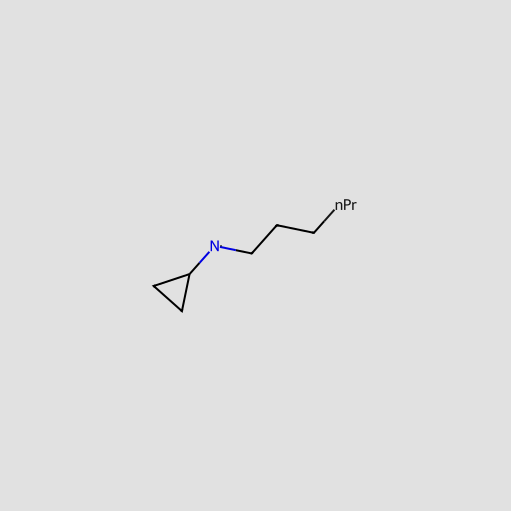 CCCCCC[N]C1CC1